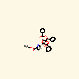 CCOC(=O)c1c[se]c([C@@H]2O[C@H](C(O)C(=O)c3ccccc3)[C@](O)(C(=O)c3ccccc3)[C@]2(O)C(=O)c2ccccc2)n1